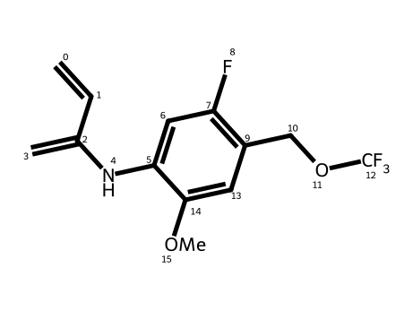 C=CC(=C)Nc1cc(F)c(COC(F)(F)F)cc1OC